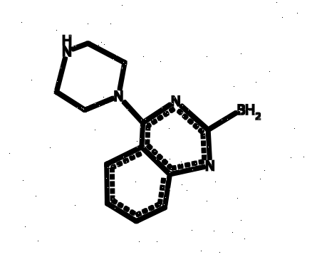 Bc1nc(N2CCNCC2)c2ccccc2n1